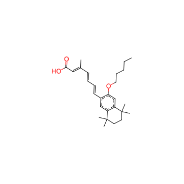 CCCCCOc1cc2c(cc1C=CC=CC(C)=CC(=O)O)C(C)(C)CCC2(C)C